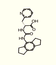 O=C(Nc1c2c(cc3c1CCC3)CCC2)N[C@H](Cc1ccccn1)C(=O)O